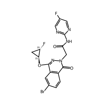 O=C(Cn1nc(O[C@H]2C[C@@H]2F)c2cc(Br)ccc2c1=O)Nc1ncc(F)cn1